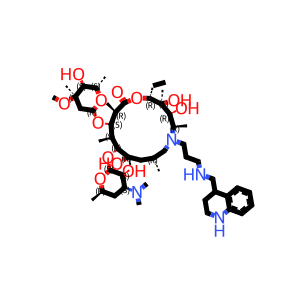 CC[C@H]1OC(=O)[C@H](C)[C@@H](O[C@H]2C[C@@](C)(OC)[C@@H](O)[C@H](C)O2)[C@H](C)[C@@H](O[C@@H]2O[C@H](C)C[C@H](N(C)C)[C@H]2O)[C@](C)(O)C[C@@H](C)CN(CCCNCC2CCNc3ccccc32)[C@H](C)[C@@H](O)[C@]1(C)O